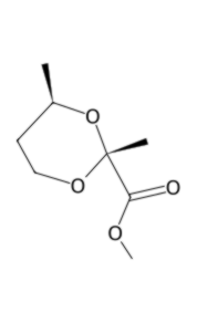 COC(=O)[C@]1(C)OCC[C@@H](C)O1